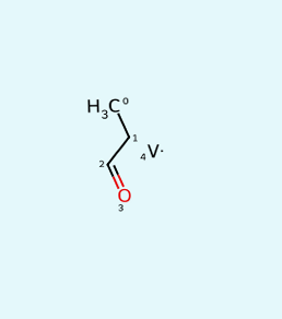 CCC=O.[V]